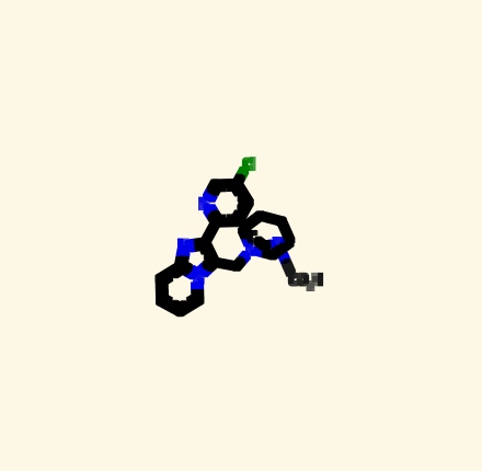 O=C(O)N1CCC2CCC1CN2Cc1c(-c2ccc(Cl)cn2)nc2ccccn12